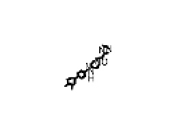 Cc1ccc(-c2ccc(-c3nc4c([nH]3)C=CN(CC(=O)c3cnccn3)C4)cc2)cc1C